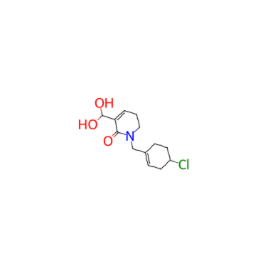 O=C1C(C(O)O)=CCCN1CC1=CCC(Cl)CC1